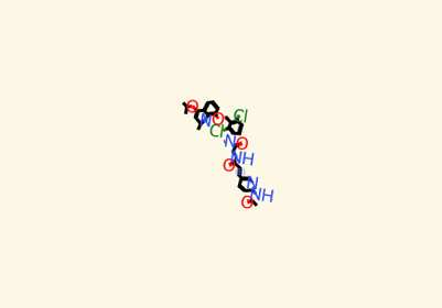 CC(=O)Nc1ccc(/C=C/C(=O)NCC(=O)N(C)c2ccc(Cl)c(COc3cccc4c(OC(C)C)cc(C)nc34)c2Cl)cn1